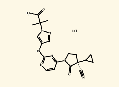 CC(C)(C(N)=O)n1cc(Nc2nccc(N3CC[C@@](C#N)(C4CC4)C3=O)n2)cn1.Cl